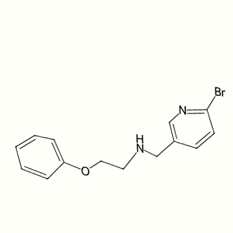 Brc1ccc(CNCCOc2ccccc2)cn1